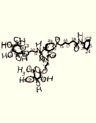 C[C@@H]1O[C@@H](OCCNC(=O)[C@H]2CN(C(=O)CCCCC(=O)Nc3ccccc3)CC[C@H]2C(=O)NCCO[C@@H]2O[C@@H](C)[C@@H](O)[C@@H](O)[C@@H]2O)[C@@H](O)[C@H](O)[C@@H]1O